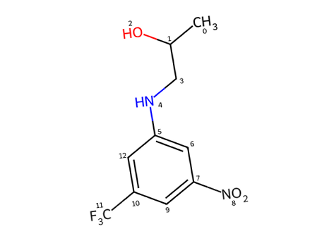 CC(O)CNc1cc([N+](=O)[O-])cc(C(F)(F)F)c1